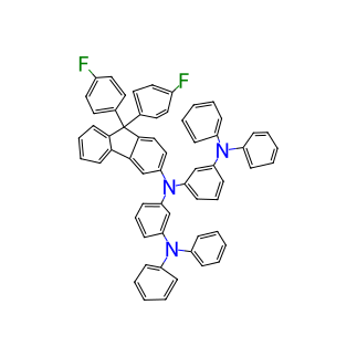 Fc1ccc(C2(c3ccc(F)cc3)c3ccccc3-c3cc(N(c4cccc(N(c5ccccc5)c5ccccc5)c4)c4cccc(N(c5ccccc5)c5ccccc5)c4)ccc32)cc1